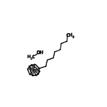 CCCCCCCC[C]12[CH]3[CH]4[CH]5[CH]1[Fe]45321678[CH]2[CH]1[CH]6[CH]7[CH]28.CO